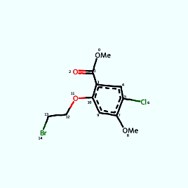 COC(=O)c1cc(Cl)c(OC)cc1OCCBr